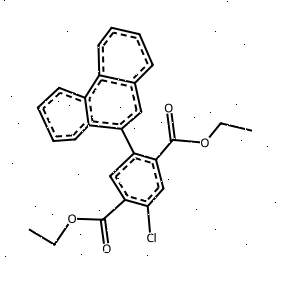 CCOC(=O)c1cc(-c2cc3ccccc3c3ccccc23)c(C(=O)OCC)cc1Cl